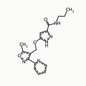 CCCNC(=O)c1cc(OCc2c(-c3ccccn3)noc2C)[nH]n1